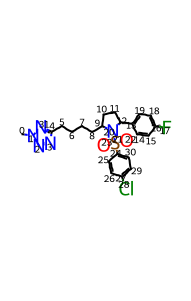 Cn1nnc(CCCCC2CCC(c3ccc(F)cc3)N2S(=O)(=O)c2ccc(Cl)cc2)n1